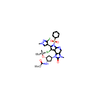 COC(=O)N[C@H]1C[C@H](n2c(=O)n(C)c3cnc4c(c(Br)c(-c5cn(C)nc5F)n4S(=O)(=O)c4ccccc4)c32)C[C@H]1O[Si](C)(C)C(C)(C)C